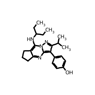 CCC(CC)Nc1c2c(nc3c(-c4ccc(O)cc4)c(C(C)C)nn13)CCC2